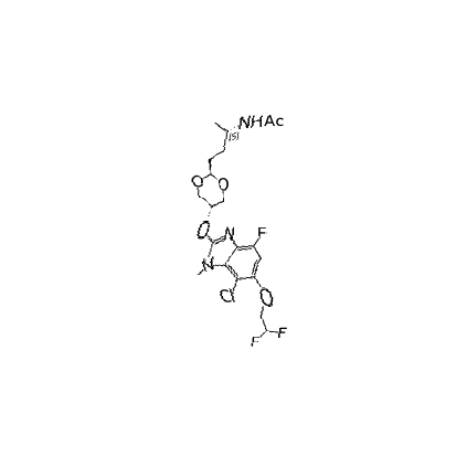 CC(=O)N[C@@H](C)CC[C@H]1OC[C@H](Oc2nc3c(F)cc(OCC(F)F)c(Cl)c3n2C)CO1